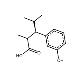 CC(C)[C@@H](c1cccc(O)c1)C(C)C(=O)O